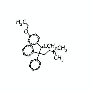 CCOc1ccc(C(=O)C(C[C@H](C)N(C)C)(c2ccccc2)c2ccccc2)cc1